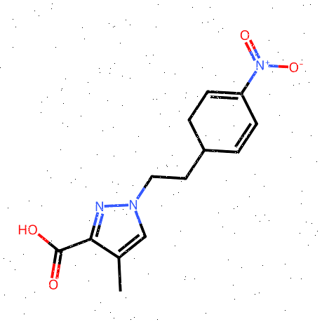 Cc1cn(CCC2C=CC([N+](=O)[O-])=CC2)nc1C(=O)O